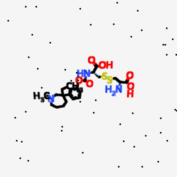 CCC1(c2cccc(OC(=O)N[C@@H](CSSC[C@H](N)C(=O)O)C(=O)O)c2)CCCCN(C)C1